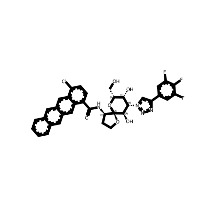 O=C(N[C@@H]1CCO[C@]12O[C@H](CO)[C@H](O)[C@H](n1cc(-c3cc(F)c(F)c(F)c3)nn1)[C@H]2O)c1ccc(Cl)c2cc3cc4ccccc4cc3cc12